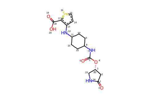 O=C1C[C@@H](OC(=O)NC2CCC(Nc3ccsc3C(=O)O)CC2)CN1